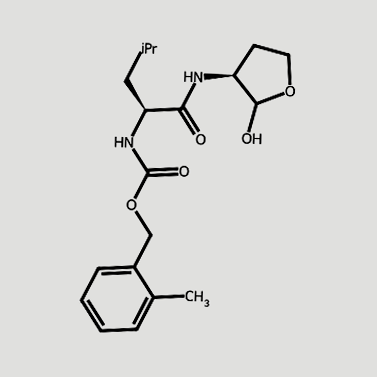 Cc1ccccc1COC(=O)N[C@@H](CC(C)C)C(=O)N[C@H]1CCOC1O